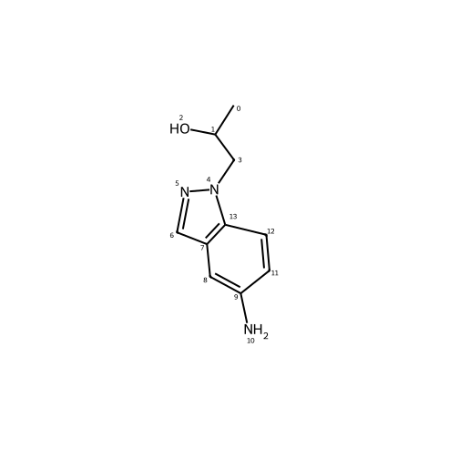 CC(O)Cn1ncc2cc(N)ccc21